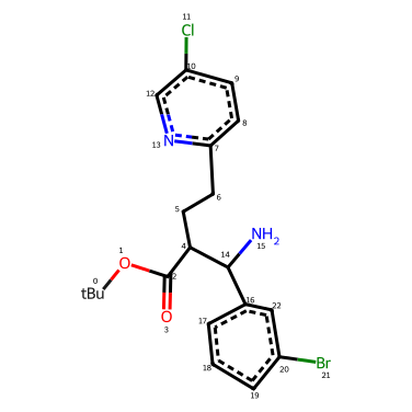 CC(C)(C)OC(=O)C(CCc1ccc(Cl)cn1)C(N)c1cccc(Br)c1